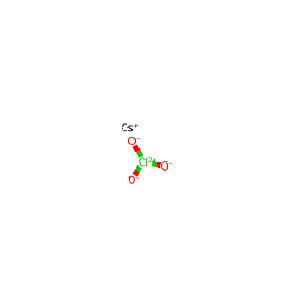 [Cs+].[O-][Cl+2]([O-])[O-]